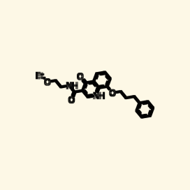 CCOCCNC(=O)c1c[nH]c2c(OCCCc3ccccc3)cccc2c1=O